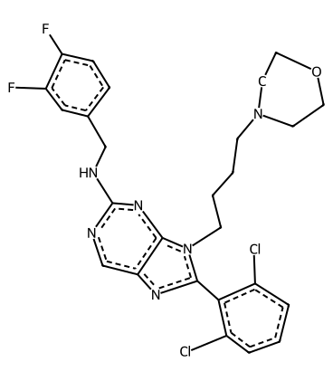 Fc1ccc(CNc2ncc3nc(-c4c(Cl)cccc4Cl)n(CCCCN4CCOCC4)c3n2)cc1F